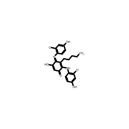 CCCCCC1=C(Nc2ccc(O)cc2Cl)C(=O)C=C(O)/C1=N/c1ccc(O)cc1Cl